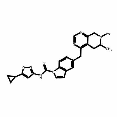 CC(=O)N1Cc2ncnc(Cc3ccc4c(ccn4C(=O)Nc4cc(C5CC5)on4)c3)c2CC1C